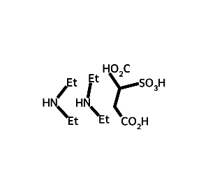 CCNCC.CCNCC.O=C(O)CC(C(=O)O)S(=O)(=O)O